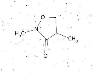 CC1CON(C)C1=O